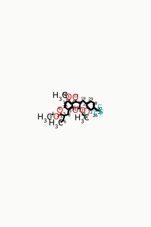 CCOC(=O)C(CC)Cc1ccc(OC)c(C(=O)C(Cc2ccc(C(F)(F)F)cc2)C(=O)OCC)c1